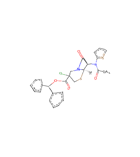 CC(=O)N(c1cccs1)C1C(=O)N2CC(Cl)(C(=O)OC(c3ccccc3)c3ccccc3)CS[C@H]12